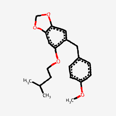 COc1ccc(Cc2cc3c(cc2OCCC(C)C)OCO3)cc1